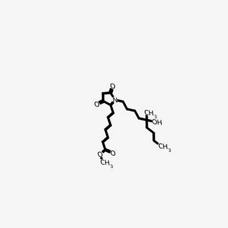 CCCCC(C)(O)CCCCN1C(=O)CC(=O)C1CCCCCCC(=O)OC